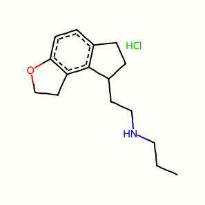 CCCNCCC1CCc2ccc3c(c21)CCO3.Cl